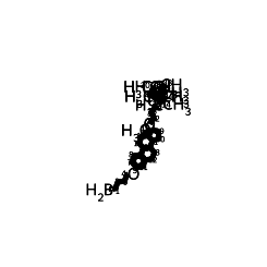 BCCCCOc1ccc2c(c1)CCC1C2CCC2(C)C(OCCCOC(C(C)(C)C)(C(C)(C)C)C(C)(C)C)CCC12